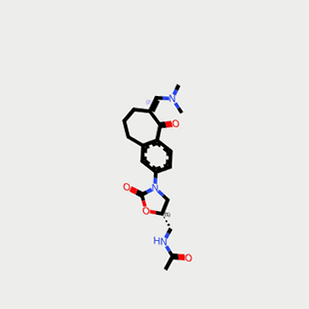 CC(=O)NC[C@H]1CN(c2ccc3c(c2)CCC/C(=C/N(C)C)C3=O)C(=O)O1